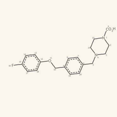 O=C(O)N1CCN(Cc2ccc(COc3ccc(F)cc3)cc2)CC1